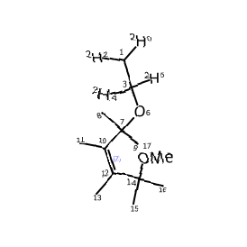 [2H]C([2H])C([2H])([2H])OC(C)(C)/C(C)=C(/C)C(C)(C)OC